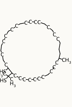 CC1CCCCCCCCCCCCCCCCCCCCCCCC(S)C(C(C)(C)S)CCCCCCCCCCC1